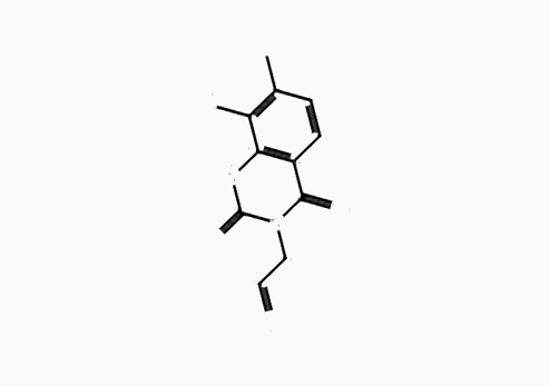 Cc1ccc2c(=O)n(CC=O)c(=O)[nH]c2c1Cl